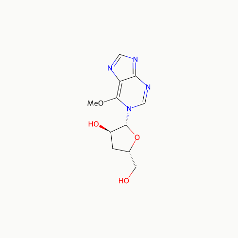 COc1c2ncnc-2ncn1[C@@H]1O[C@H](CO)C[C@H]1O